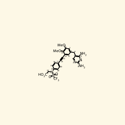 COc1cc(Cc2cnc(N)nc2N)cc(C#Cc2ccc(N(CC(=O)O)S(=O)(=O)C(F)(F)F)cc2)c1OC